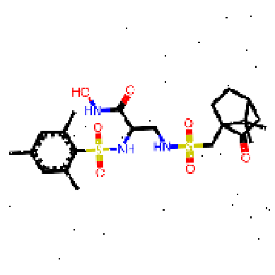 Cc1cc(C)c(S(=O)(=O)NC(CNS(=O)(=O)CC23CCC(CC2=O)C3(C)C)C(=O)NO)c(C)c1